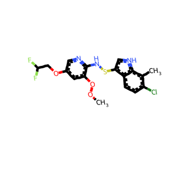 COOc1cc(OCC(F)F)cnc1NSc1c[nH]c2c(C)c(Cl)ccc12